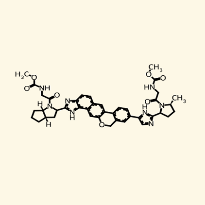 COC(=O)NCC(=O)N1C(c2ncc(-c3ccc4c(c3)COc3cc5c(ccc6nc(C7C[C@@H]8CCC[C@@H]8N7C(=O)CNC(=O)OC)[nH]c65)cc3-4)[nH]2)CC[C@@H]1C